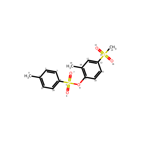 Cc1ccc(S(=O)(=O)Oc2ccc(S(C)(=O)=O)cc2C)cc1